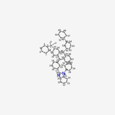 CC1(C)c2ccccc2-c2cc3c(-c4cccc(-c5nc6ccccc6n5-c5ccccc5)c4)c4ccccc4c(-c4cccc(-c5ccccc5)c4)c3cc21